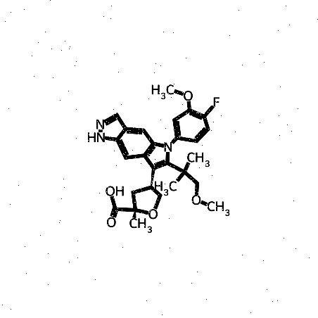 COCC(C)(C)c1c([C@H]2CO[C@](C)(C(=O)O)C2)c2cc3[nH]ncc3cc2n1-c1ccc(F)c(OC)c1